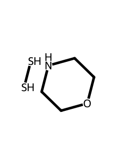 C1COCCN1.SS